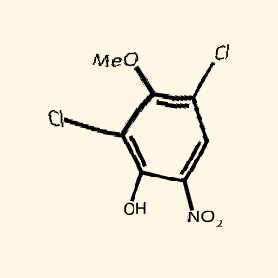 COc1c(Cl)cc([N+](=O)[O-])c(O)c1Cl